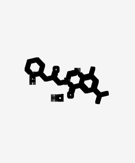 Cc1cc(C(C)C)cc2c(=O)n(CC(=O)CC3CCCCN3)cnc12.Cl